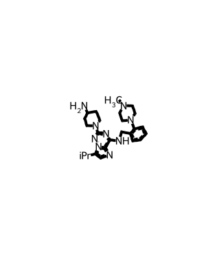 CC(C)c1cnc2c(NCc3ccccc3N3CCN(C)CC3)nc(N3CCC(N)CC3)nn12